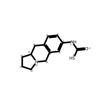 O=C(S)Nc1ccc2c(c1)CN1CCCC1C2